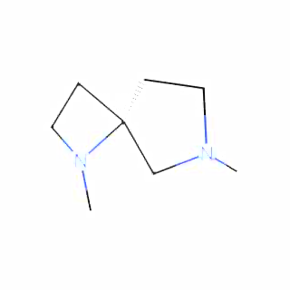 CN1CC[C@]2(CCN2C)C1